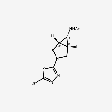 CC(=O)N[C@@H]1[C@@H]2CN(c3nnc(Br)s3)C[C@@H]21